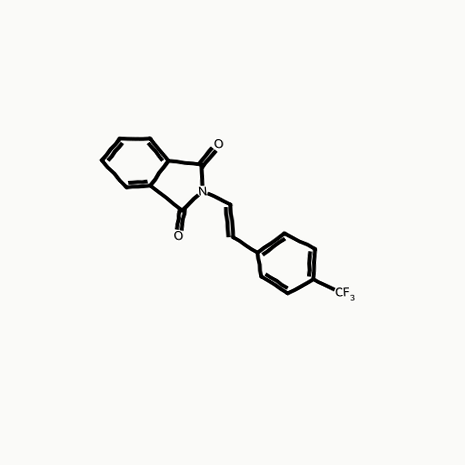 O=C1c2ccccc2C(=O)N1C=Cc1ccc(C(F)(F)F)cc1